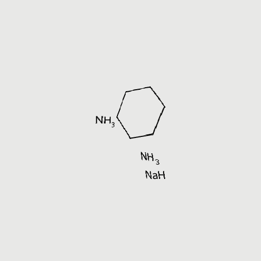 C1CCCCC1.N.N.[NaH]